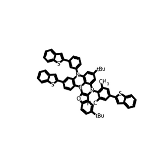 Cc1cc(-c2cc3ccccc3s2)cc(C)c1N1c2cc(C(C)(C)C)cc3c2B(c2ccc(-c4cc5ccccc5s4)cc2N3c2cccc(-c3cc4ccccc4s3)c2)c2oc3ccc(C(C)(C)C)cc3c21